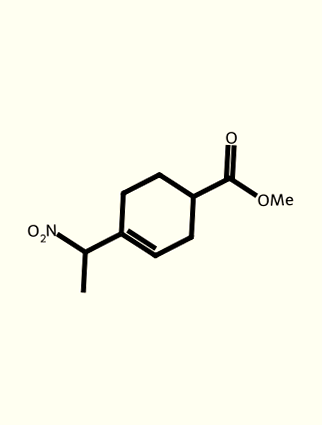 COC(=O)C1CC=C(C(C)[N+](=O)[O-])CC1